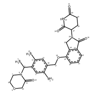 Bc1cc(C(B)N2CCOCC2=O)c(B)cc1COc1cccc2c1CN(C1CCC(=O)NC1=O)C2=O